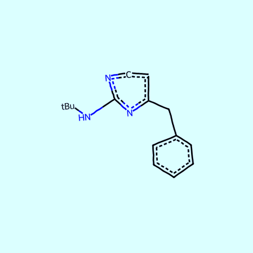 CC(C)(C)Nc1nccc(Cc2ccccc2)n1